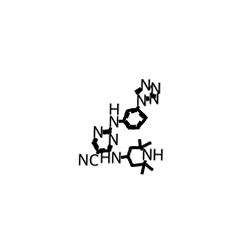 CC1(C)CC(Nc2nc(Nc3cccc(-n4cnnn4)c3)ncc2C#N)CC(C)(C)N1